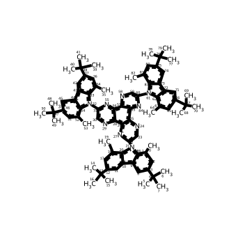 Cc1cc(C(C)(C)C)cc2c3cc(C(C)(C)C)cc(C)c3n(-c3cnc4c(n3)c3ncc(-n5c6c(C)cc(C(C)(C)C)cc6c6cc(C(C)(C)C)cc(C)c65)nc3c3ncc(-n5c6c(C)cc(C(C)(C)C)cc6c6cc(C(C)(C)C)cc(C)c65)nc43)c12